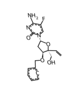 C=C[C@]1(CO)O[C@@H](n2cc(F)c(N)nc2=O)C[C@@H]1OCc1ccccc1